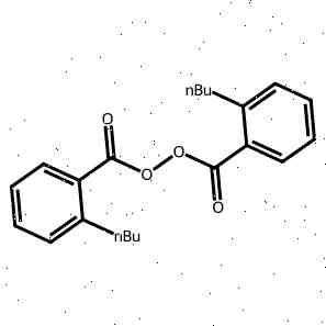 CCCCc1ccccc1C(=O)OOC(=O)c1ccccc1CCCC